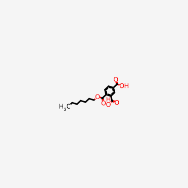 CCCCCCCOC(=O)c1ccc(C(=O)O)cc1C(=O)O